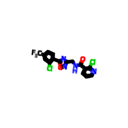 O=C(NCc1noc(-c2ccc(C(F)(F)F)cc2Cl)n1)c1cccnc1Cl